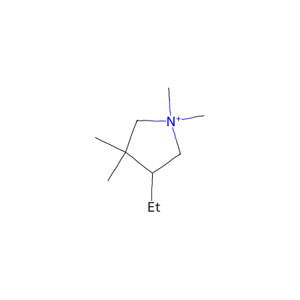 CCC1C[N+](C)(C)CC1(C)C